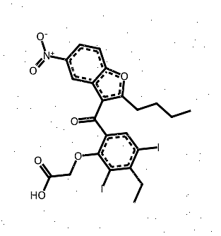 CCCCc1oc2ccc([N+](=O)[O-])cc2c1C(=O)c1cc(I)c(CC)c(I)c1OCC(=O)O